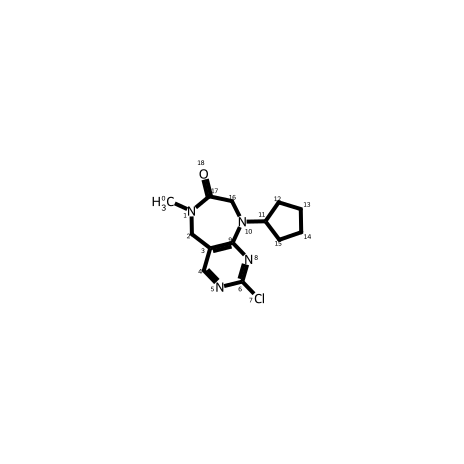 CN1Cc2cnc(Cl)nc2N(C2CCCC2)CC1=O